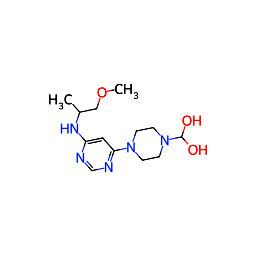 COCC(C)Nc1cc(N2CCN(C(O)O)CC2)ncn1